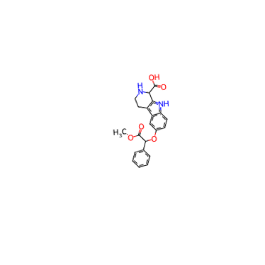 COC(=O)C(Oc1ccc2[nH]c3c(c2c1)CCNC3C(=O)O)c1ccccc1